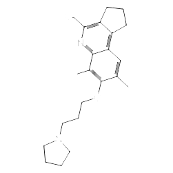 Cc1cc2c3c(c(Cl)nc2c(F)c1OCCCN1CCCC1)CCC3